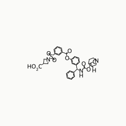 O=C(N[C@@H](c1ccccc1)c1cccc(OC(=O)c2cccc(S(=O)(=O)N3CC(C(=O)O)C3)c2)c1)O[C@H]1CN2CCC1CC2